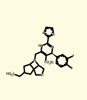 CCOC(=O)C1=C(CN2C3COCC34CC(CC(=O)O)CC24)NC(c2nccs2)=N[C@H]1c1ccc(F)c(F)c1